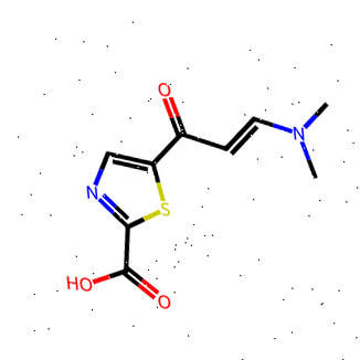 CN(C)C=CC(=O)c1cnc(C(=O)O)s1